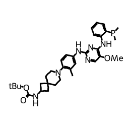 COc1cnc(Nc2ccc(N3CCC4(CC3)CC(NC(=O)OC(C)(C)C)C4)c(C)c2)nc1Nc1ccccc1P(C)C